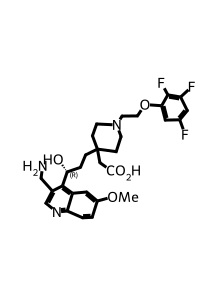 COc1ccc2ncc(CN)c([C@H](O)CCC3(CC(=O)O)CCN(CCOc4cc(F)cc(F)c4F)CC3)c2c1